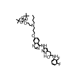 CCCCN(CCCOc1ccc2c(Nc3cc(CC(=O)Nc4cccc(F)c4F)[nH]n3)ncnc2c1)CCOP(=O)(OC(C)(C)C)OC(C)(C)C